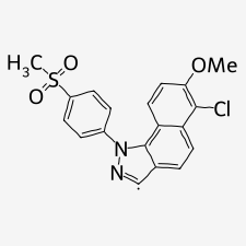 COc1ccc2c(ccc3[c]nn(-c4ccc(S(C)(=O)=O)cc4)c32)c1Cl